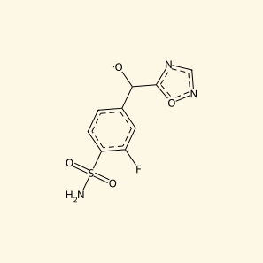 NS(=O)(=O)c1ccc(C([O])c2ncno2)cc1F